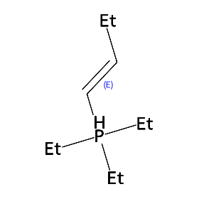 CC/C=C/[PH](CC)(CC)CC